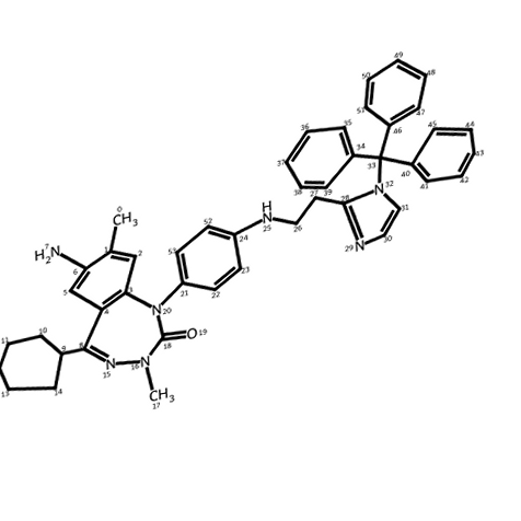 Cc1cc2c(cc1N)C(C1CCCCC1)=NN(C)C(=O)N2c1ccc(NCCc2nccn2C(c2ccccc2)(c2ccccc2)c2ccccc2)cc1